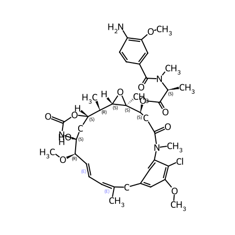 COc1cc(C(=O)N(C)[C@@H](C)C(=O)O[C@H]2CC(=O)N(C)c3cc(cc(OC)c3Cl)C/C(C)=C/C=C/[C@@H](OC)[C@@]3(O)C[C@H](OC(=O)N3)[C@@H](C)[C@@H]3O[C@@]23C)ccc1N